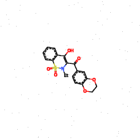 CCN1C(C(=O)c2ccc3c(c2)OCCO3)=C(O)c2ccccc2S1(=O)=O